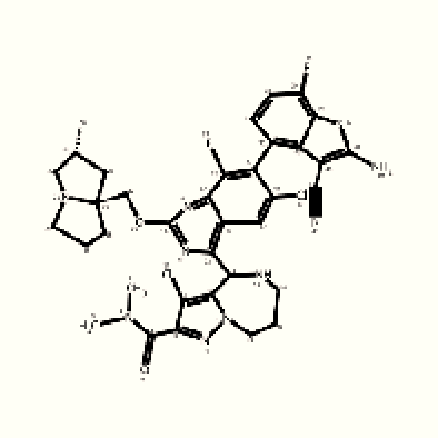 CN(C)C(=O)c1nn2c(c1Cl)C(c1nc(OC[C@@]34CCCN3C[C@H](F)C4)nc3c(F)c(-c4ccc(F)c5sc(N)c(C#N)c45)c(Cl)cc13)NCCC2